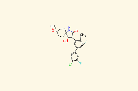 COC1CCC2(CC1)NC(=O)C(c1cc(-c3ccc(Cl)c(F)c3)cc(F)c1C)=C2O